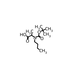 CCCCN(C(=O)OC(C)(C)C)C(C)C(=O)O